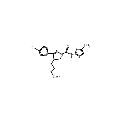 COCCCC1CN(C(=O)Nc2cc(C)cs2)N=C1c1ccc(Cl)cc1